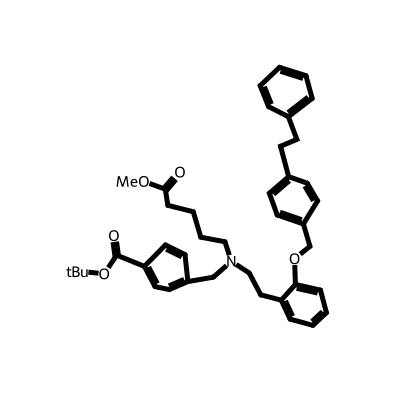 COC(=O)CCCCN(CCc1ccccc1OCc1ccc(CCc2ccccc2)cc1)Cc1ccc(C(=O)OC(C)(C)C)cc1